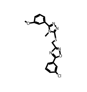 COc1cccc(-c2nnc(SCc3noc(-c4cccc(Cl)c4)n3)n2C)c1